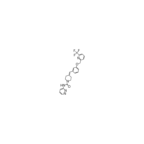 O=C(Nc1cccnn1)N1CCC(=Cc2cccc(OCc3cccc(C(F)(F)F)n3)c2)CC1